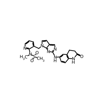 CN(c1ncccc1Cn1ccc2cnc(Nc3ccc4c(c3)CCC(=O)N4)nc21)S(C)(=O)=O